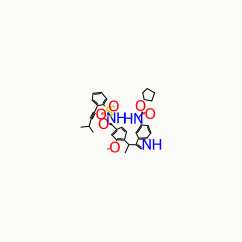 COc1cc(C(=O)NS(=O)(=O)c2ccccc2C#CC(C)C)ccc1C(C)c1c[nH]c2ccc(NC(=O)OC3CCCC3)cc12